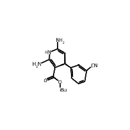 CCC(C)OC(=O)C1=C(N)NC(N)=CC1c1cccc(C#N)c1